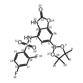 CC1(C)OB(c2cc(NS(=O)(=O)c3ccc(F)cc3F)c3[nH]c(=O)oc3c2)OC1(C)C